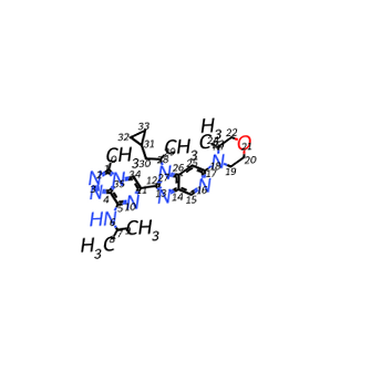 Cc1nnc2c(NC(C)C)nc(-c3nc4cnc(N5CCOC[C@@H]5C)cc4n3C(C)CC3CC3)cn12